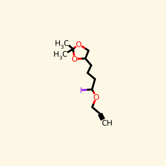 C#CCOC(I)CCCC1COC(C)(C)O1